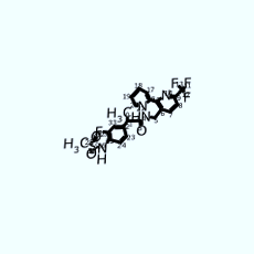 CC(C(=O)NCc1ccc(C(F)(F)F)nc1-c1ccccn1)c1ccc(NS(C)(=O)=O)c(F)c1